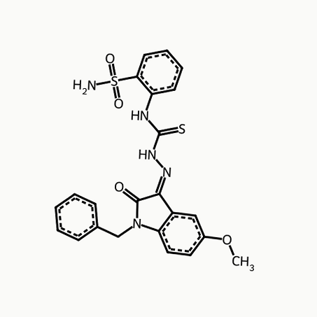 COc1ccc2c(c1)C(=NNC(=S)Nc1ccccc1S(N)(=O)=O)C(=O)N2Cc1ccccc1